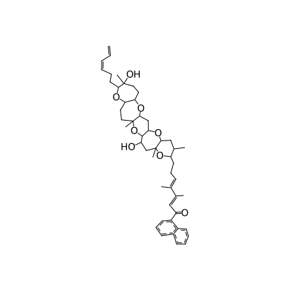 C=C/C=C\CCC1OC2CCC3(C)OC4C(O)CC5(C)OC(CC/C=C(C)/C(C)=C/C(=O)c6cccc7ccccc67)C(C)CC5OC4CC3OC2CCC1(C)O